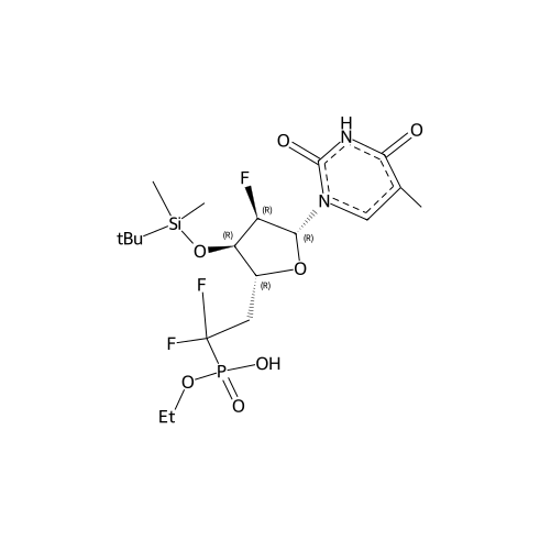 CCOP(=O)(O)C(F)(F)C[C@H]1O[C@@H](n2cc(C)c(=O)[nH]c2=O)[C@H](F)[C@@H]1O[Si](C)(C)C(C)(C)C